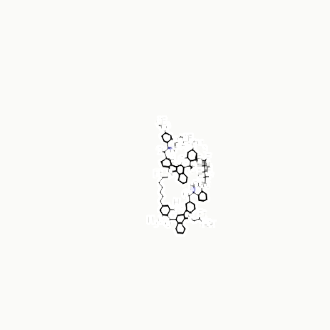 CCCCC(CC)Cn1c2ccc(C(=O)/C(=N/OC(C)=O)c3ccccc3OCC(F)(F)C(F)(F)C(F)(F)C(F)F)cc2c2cc(C(=O)c3c(C)cc(CCCCCC(CC)Cn4c5ccc(C(=O)/C(=N/OC(C)=O)c6ccc(OCC(F)(F)F)cc6OCC(F)(F)F)cc5c5cc(C(=O)c6c(C)cc(C)cc6C)c6ccccc6c54)cc3C)c3ccccc3c21